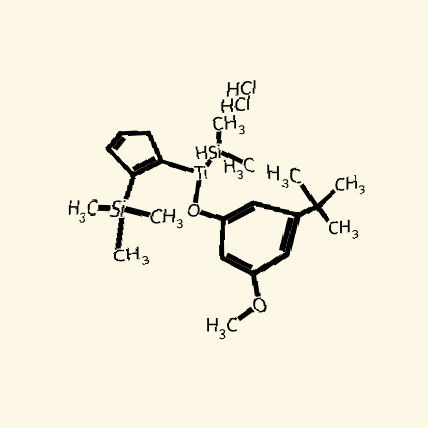 COc1cc([O][Ti]([C]2=C([Si](C)(C)C)C=CC2)[SiH](C)C)cc(C(C)(C)C)c1.Cl.Cl